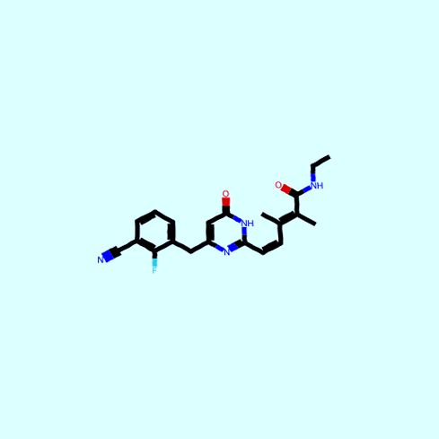 CCNC(=O)/C(C)=C(C)/C=C\c1nc(Cc2cccc(C#N)c2F)cc(=O)[nH]1